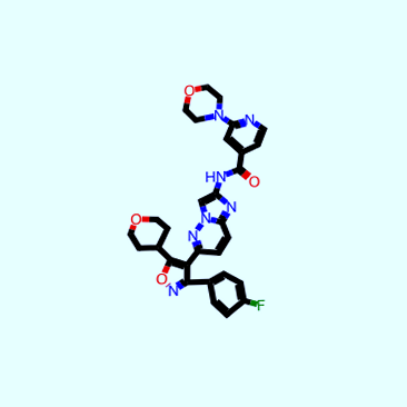 O=C(Nc1cn2nc(-c3c(-c4ccc(F)cc4)noc3C3CCOCC3)ccc2n1)c1ccnc(N2CCOCC2)c1